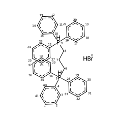 Br.c1ccc([PH](CCC[PH](c2ccccc2)(c2ccccc2)c2ccccc2)(c2ccccc2)c2ccccc2)cc1